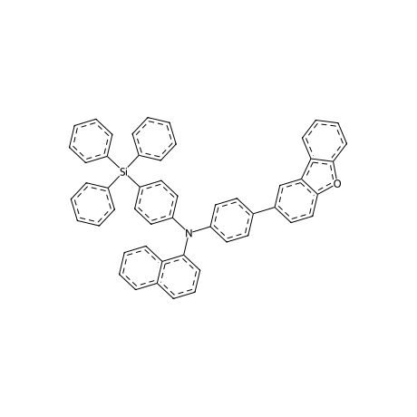 c1ccc([Si](c2ccccc2)(c2ccccc2)c2ccc(N(c3ccc(-c4ccc5oc6ccccc6c5c4)cc3)c3cccc4ccccc34)cc2)cc1